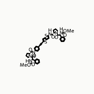 COC(=O)N[C@@H](C(=O)N1CCC[C@H]1C(=O)Nc1ccc(C#Cc2cc3sc(NC(=O)[C@@H]4CCCN4C(=O)[C@H](NC(=O)OC)c4ccccc4)cc3s2)cc1)c1ccccc1